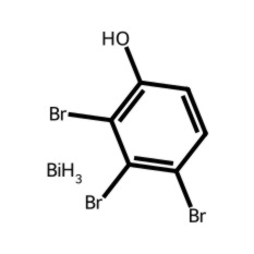 Oc1ccc(Br)c(Br)c1Br.[BiH3]